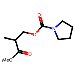 COC(=O)C(C)COC(=O)N1CCCC1